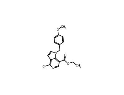 CCOC(=O)c1cnc(Cl)c2ccn(Cc3ccc(OC)cc3)c12